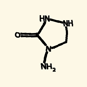 NN1CNNC1=O